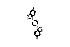 Cc1ccc2c(c1)nnn2N1CCN(n2nnc3cc(C)ccc32)CC1